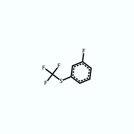 Fc1cccc(SC(F)(F)F)c1